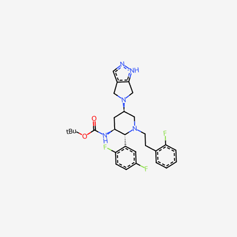 CC(C)(C)OC(=O)N[C@H]1C[C@@H](N2Cc3cn[nH]c3C2)CN(CCc2ccccc2F)[C@@H]1c1cc(F)ccc1F